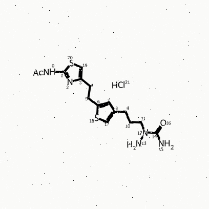 CC(=O)Nc1nc(CCc2cc(CCCN(N)C(N)=O)cs2)cs1.Cl